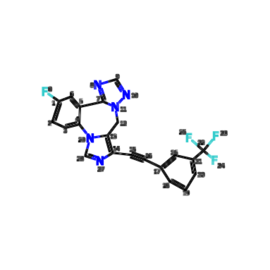 Fc1ccc2c(c1)-c1ncnn1Cc1c(C#Cc3cccc(C(F)(F)F)c3)ncn1-2